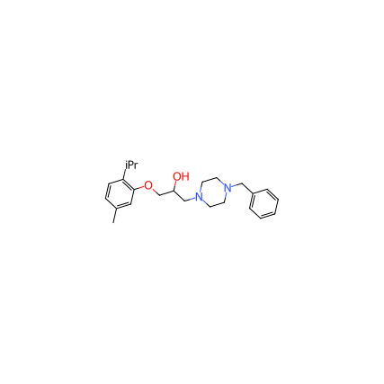 Cc1ccc(C(C)C)c(OCC(O)CN2CCN(Cc3ccccc3)CC2)c1